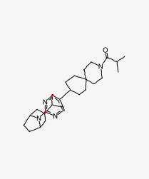 CC(C)C(=O)N1CCC2(CCC(c3cnc(N4C5CCC4CC(C(C)C)C5)nc3)CC2)CC1